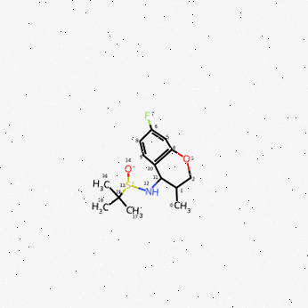 CC1COc2cc(F)ccc2C1N[S+]([O-])C(C)(C)C